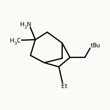 CCC1C2CC(CC(C)(N)C2)C1CC(C)(C)C